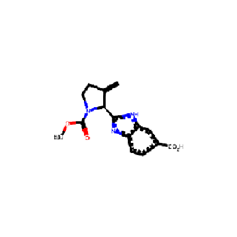 C=C1CCN(C(=O)OC(C)(C)C)[C@@H]1c1nc2ccc(C(=O)O)cc2[nH]1